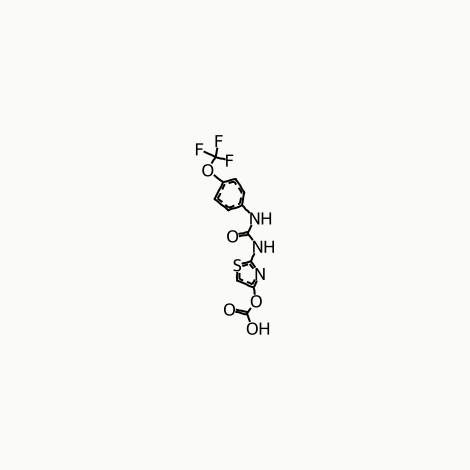 O=C(Nc1ccc(OC(F)(F)F)cc1)Nc1nc(OC(=O)O)cs1